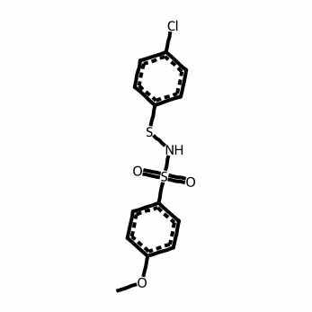 COc1ccc(S(=O)(=O)NSc2ccc(Cl)cc2)cc1